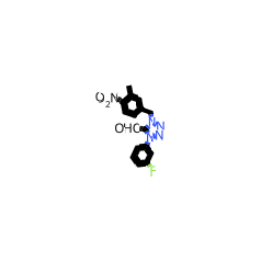 Cc1cc(CN2N=NN(c3cccc(F)c3)C2C=O)ccc1[N+](=O)[O-]